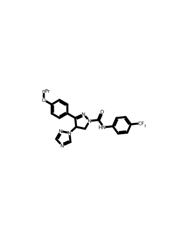 CCCOc1ccc(C2=NN(C(=O)Nc3ccc(C(F)(F)F)cc3)CC2n2cncn2)cc1